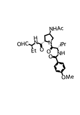 CC[C@@H](C=O)NC(=O)[C@@H]1C[C@@H](NC(C)=O)CN1C(=O)[C@@H](NC(=O)c1ccc(OC)cc1)C(C)C